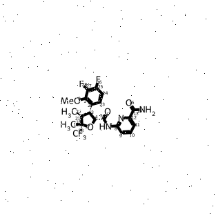 COc1c([C@@H]2[C@H](C(=O)Nc3cccc(C(N)=O)n3)O[C@](C)(C(F)(F)F)[C@H]2C)ccc(F)c1F